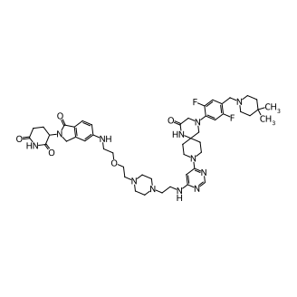 CC1(C)CCN(Cc2cc(F)c(N3CC(=O)NC4(CCN(c5cc(NCCN6CCN(CCOCCNc7ccc8c(c7)CN(C7CCC(=O)NC7=O)C8=O)CC6)ncn5)CC4)C3)cc2F)CC1